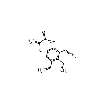 C=C(C)C(=O)O.C=Cc1cccc(C=C)c1C=C